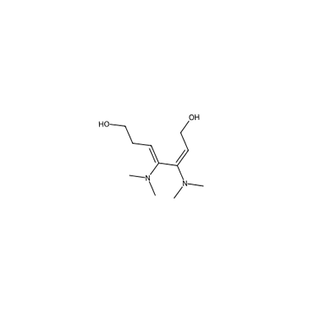 CN(C)C(=CCO)C(=CCCO)N(C)C